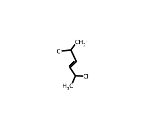 [CH2]C(Cl)/C=C/C(C)Cl